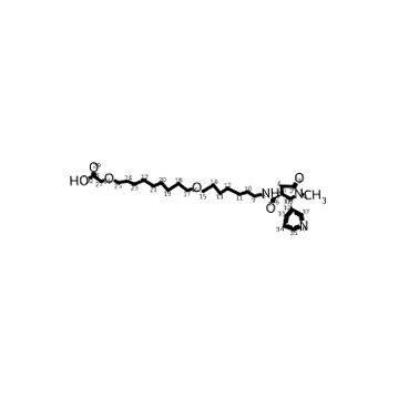 CN1C(=O)C[C@H](C(=O)NCCCCCCCOCCCCCCCCCOCC(=O)O)[C@H]1c1cccnc1